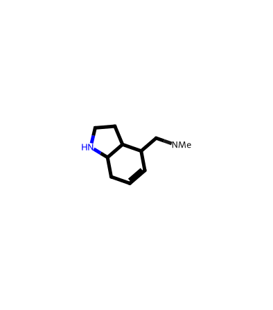 CNCC1C=CCC2NCCC12